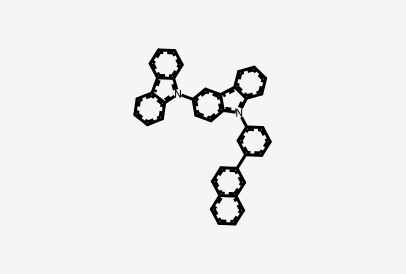 c1cc(-c2ccc3ccccc3c2)cc(-n2c3ccccc3c3cc(-n4c5ccccc5c5ccccc54)ccc32)c1